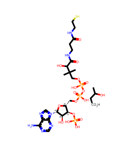 CC(C)(COP(=O)(O)OP(=O)(O)OC[C@H]1O[C@@H](n2cnc3c(N)ncnc32)[C@H](O)[C@@H]1OP(=O)(O)O)C(O)C(=O)NCCC(=O)NCCS.CC(O)CC(=O)O